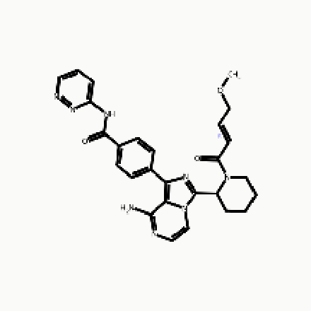 COC/C=C/C(=O)N1CCCCC1c1nc(-c2ccc(C(=O)Nc3cccnn3)cc2)c2c(N)nccn12